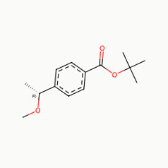 CO[C@H](C)c1ccc(C(=O)OC(C)(C)C)cc1